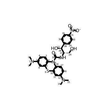 CN(C)c1ccc2c(c1)Sc1cc(N(C)C)ccc1N2C(=O)N[C@@H](CO)[C@@H](O)c1ccc([N+](=O)[O-])cc1